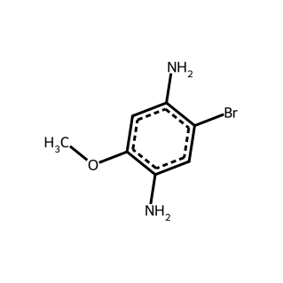 COc1cc(N)c(Br)cc1N